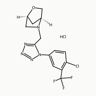 Cl.FC(F)(F)c1cc(-n2nnnc2CN2C[C@@H]3C[C@H]2CO3)ccc1Cl